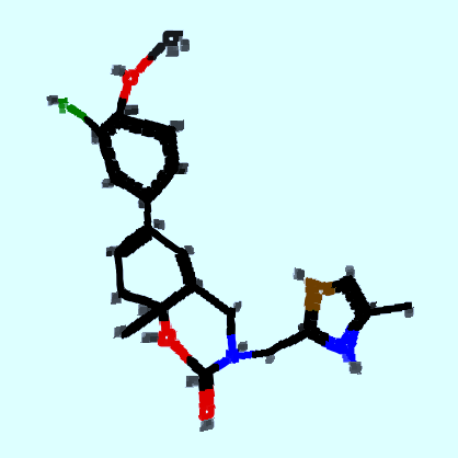 Cc1csc(CN2CC3=CC(c4ccc(OC(F)(F)F)c(F)c4)=CCC3(C)OC2=O)n1